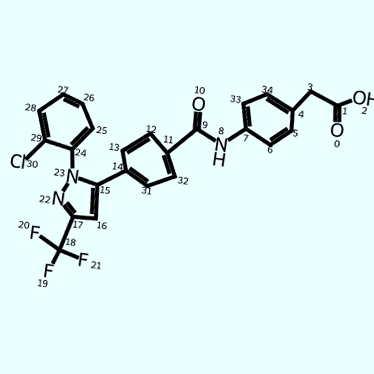 O=C(O)Cc1ccc(NC(=O)c2ccc(-c3cc(C(F)(F)F)nn3-c3ccccc3Cl)cc2)cc1